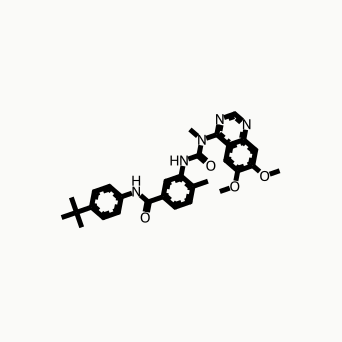 COc1cc2ncnc(N(C)C(=O)Nc3cc(C(=O)Nc4ccc(C(C)(C)C)cc4)ccc3C)c2cc1OC